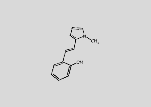 Cn1cccc1C=Cc1ccccc1O